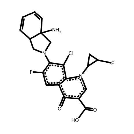 NC12C=CC=CC1CN(c1c(F)cc3c(=O)c(C(=O)O)cn(C4CC4F)c3c1Cl)C2